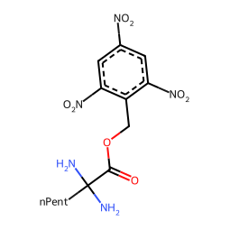 CCCCCC(N)(N)C(=O)OCc1c([N+](=O)[O-])cc([N+](=O)[O-])cc1[N+](=O)[O-]